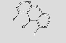 Fc1cccc(F)c1P(Cl)c1c(F)cccc1F